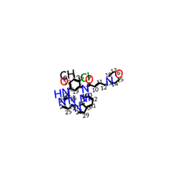 COc1cc(Cl)c(NC(=O)/C=C/CN2CCOCC2)cc1Nc1nccc(-n2ccc3cccnc32)n1